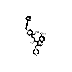 COc1ccc2ncc(CN3CCOCC3)c([C@@H](O)CCC3(CO)CCN(CC#Cc4cccs4)CC3)c2c1